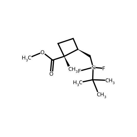 COC(=O)[C@]1(C)CC[C@H]1C[Si](F)(F)C(C)(C)C